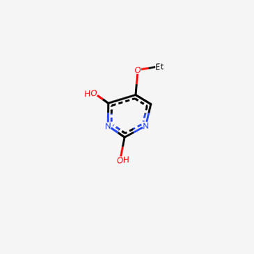 CCOc1cnc(O)nc1O